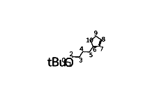 CC(C)(C)OCCCCC1C=CCC1